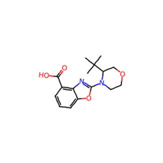 CC(C)(C)C1COCCN1c1nc2c(C(=O)O)cccc2o1